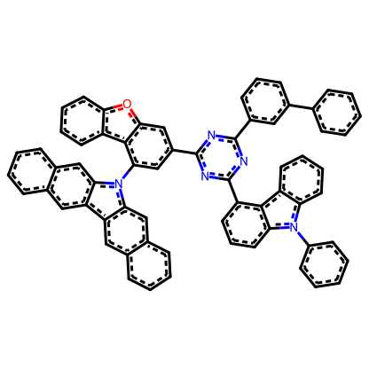 c1ccc(-c2cccc(-c3nc(-c4cc(-n5c6cc7ccccc7cc6c6cc7ccccc7cc65)c5c(c4)oc4ccccc45)nc(-c4cccc5c4c4ccccc4n5-c4ccccc4)n3)c2)cc1